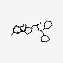 O=C(C[C@H]1CCc2c1[nH]c1ccc(F)cc21)ON(C1CCCCC1)C1CCCCC1